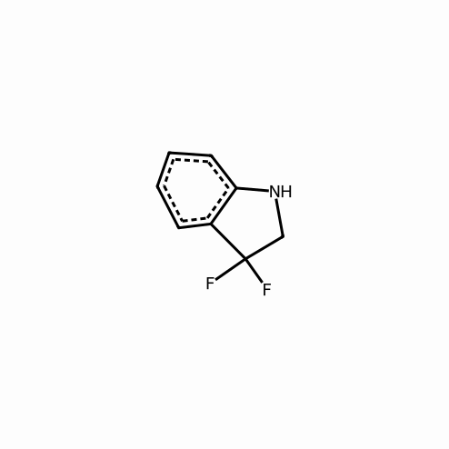 FC1(F)CNc2ccccc21